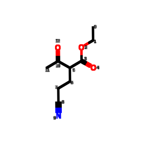 CCOC(=O)C(CCC#N)C(C)=O